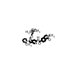 CN1CCCC[C@@H]1c1cc2cnc(NC(=O)c3ccc4c(=O)n(C)ccc4c3)cc2n1COCC[Si](C)(C)C